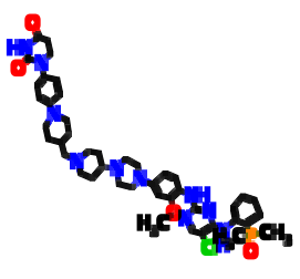 COc1cc(N2CCN(C3CCN(CC4CCN(c5ccc(N6CCC(=O)NC6=O)cc5)CC4)CC3)CC2)ccc1Nc1ncc(Cl)c(Nc2ccccc2P(C)(C)=O)n1